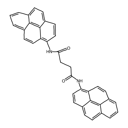 O=C(CCC(=O)Nc1ccc2ccc3cccc4ccc1c2c34)Nc1ccc2ccc3cccc4ccc1c2c34